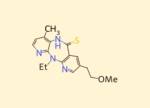 CCN1c2ncc(CCOC)cc2C(=S)Nc2c(C)ccnc21